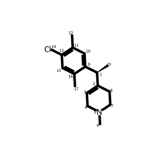 [CH2][C@@H](C1=CCN(C)CC1)c1cc(C)c(Cl)cc1C